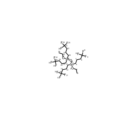 CC[O][Sn]([CH2]CCC(F)(F)F)([CH2]CCC(F)(F)F)[O][Sn]([CH2]CCC(F)(F)F)([CH2]CCC(F)(F)F)[O]CC